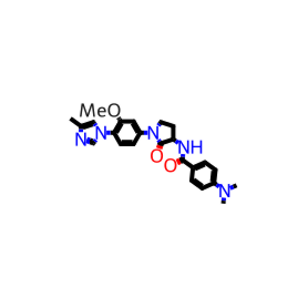 COc1cc(N2CCC(NC(=O)c3ccc(N(C)C)cc3)C2=O)ccc1-n1cnc(C)c1